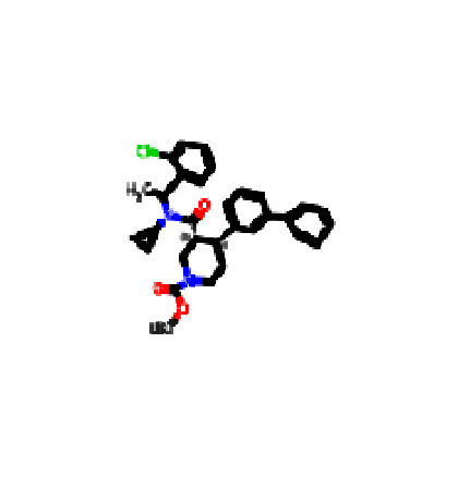 CC(c1ccccc1Cl)N(C(=O)[C@H]1CN(C(=O)OC(C)(C)C)CC[C@@H]1c1cccc(-c2ccccc2)c1)C1CC1